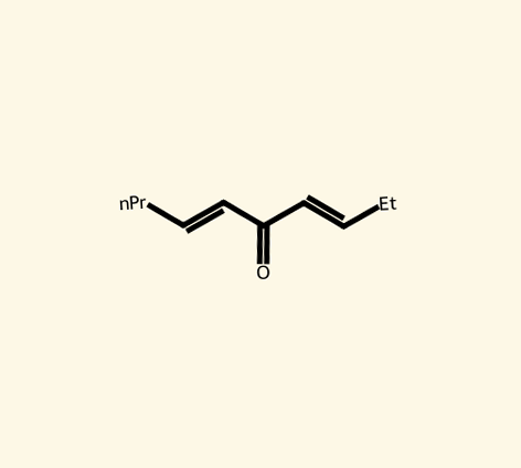 CCC=CC(=O)C=CCCC